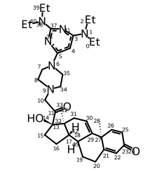 CCN(CC)c1cc(N2CCN(CC(=O)[C@@]3(O)CC[C@H]4[C@@H]5CCC6=CC(=O)C=C[C@]6(C)C5=CC[C@@]43C)CC2)nc(N(CC)CC)n1